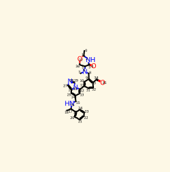 CC1NC(=O)C(N(C)Cc2cc(-c3cc(CNC(C)c4ccccc4)cc4cncn34)ccc2C=O)CO1